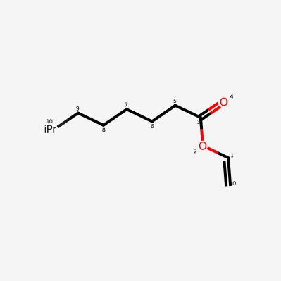 C=COC(=O)CCCCCC(C)C